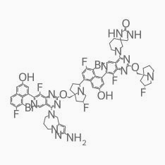 Nc1cc2n(n1)CCCN(c1nc(OC[C@@]34CCC(c5cc(F)c(Br)c6c(-c7ncc8c(N9CCCC%10(CNC(=O)N%10)C9)nc(OC[C@@]9%10CCCN9C[C@H](F)C%10)nc8c7F)cc(O)cc56)N3C[C@H](F)C4)nc3c(F)c(-c4cc(O)cc5ccc(F)c(Br)c45)ncc13)C2